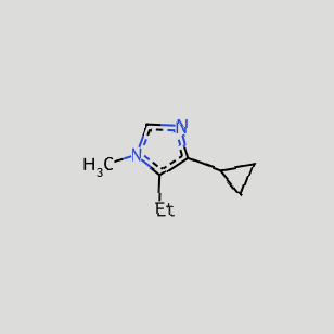 CCc1c(C2CC2)ncn1C